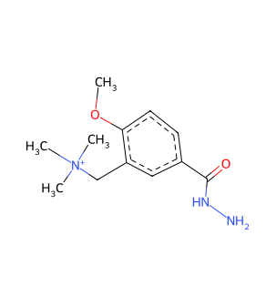 COc1ccc(C(=O)NN)cc1C[N+](C)(C)C